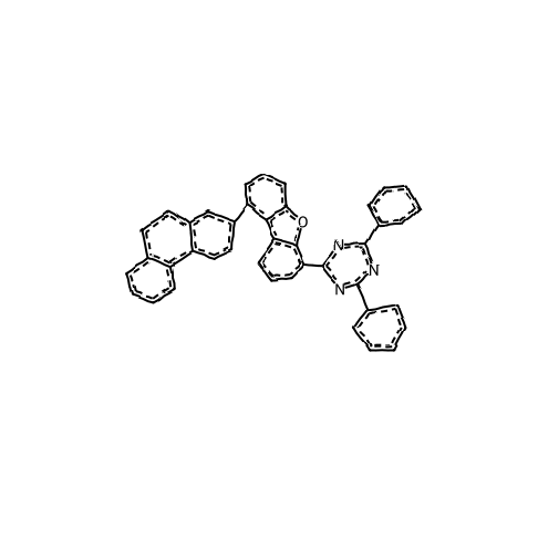 c1ccc(-c2nc(-c3ccccc3)nc(-c3cccc4c3oc3cccc(-c5ccc6c(ccc7ccccc76)c5)c34)n2)cc1